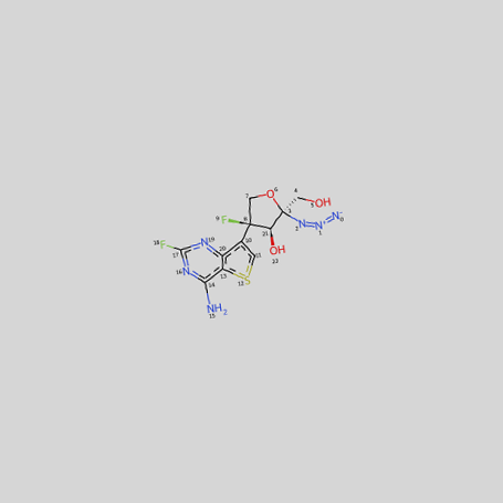 [N-]=[N+]=N[C@]1(CO)OC[C@@](F)(c2csc3c(N)nc(F)nc23)[C@@H]1O